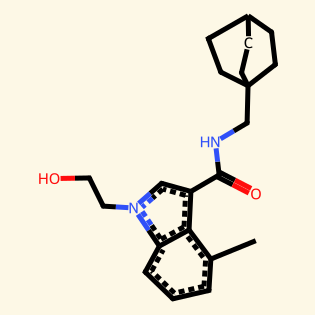 Cc1cccc2c1c(C(=O)NCC13CCC(CC1)CC3)cn2CCO